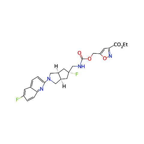 CCOC(=O)c1cc(COC(=O)NC[C@@]2(F)C[C@H]3CN(c4ccc5cc(F)ccc5n4)C[C@H]3C2)on1